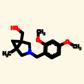 COc1ccc(CN2CC3(C)CC3(CO)C2)c(OC)c1